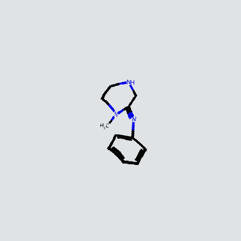 CN1CCNCC1=Nc1ccccc1